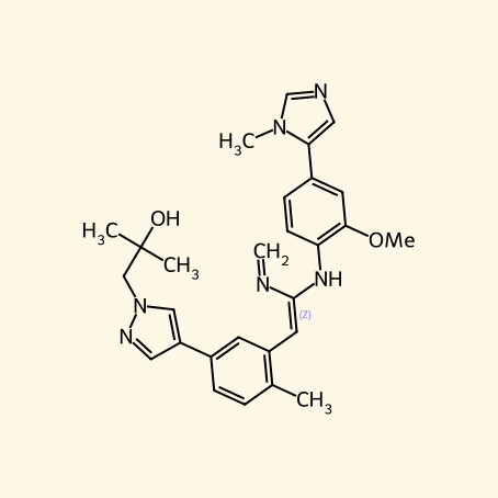 C=N/C(=C\c1cc(-c2cnn(CC(C)(C)O)c2)ccc1C)Nc1ccc(-c2cncn2C)cc1OC